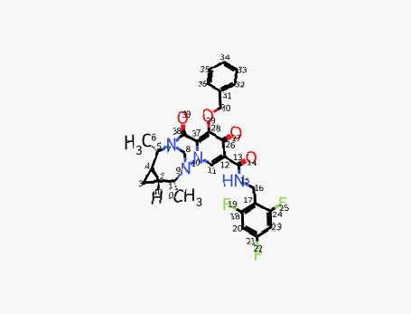 C[C@@H]1[C@@H]2CC2[C@H](C)N2CN1n1cc(C(=O)NCc3c(F)cc(F)cc3F)c(=O)c(OCc3ccccc3)c1C2=O